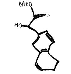 COC(=O)C(O)c1ccc2c(c1)C=CCC2